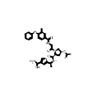 Cc1cc(C(=O)NCC(=O)N2C[C@H](OC(F)F)C[C@H]2C(=O)NC(C)c2cc(C(=N)N)cs2)ccc1Oc1ccccc1